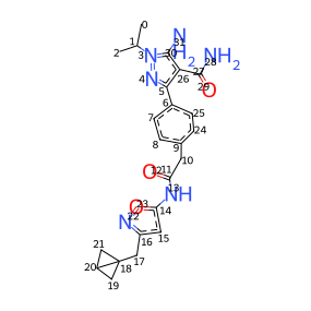 CC(C)n1nc(-c2ccc(CC(=O)Nc3cc(CC45CC4C5)no3)cc2)c(C(N)=O)c1N